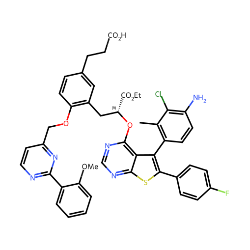 CCOC(=O)[C@@H](Cc1cc(CCC(=O)O)ccc1OCc1ccnc(-c2ccccc2OC)n1)Oc1ncnc2sc(-c3ccc(F)cc3)c(-c3ccc(N)c(Cl)c3C)c12